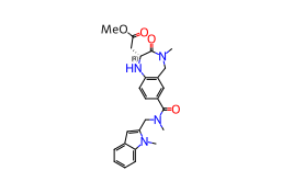 COC(=O)C[C@H]1Nc2ccc(C(=O)N(C)Cc3cc4ccccc4n3C)cc2CN(C)C1=O